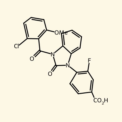 COc1cccc(Cl)c1C(=O)n1c(=O)n(-c2ccc(C(=O)O)cc2F)c2ccccc21